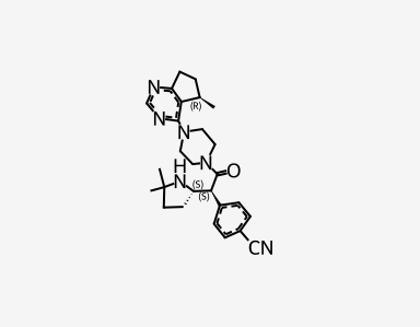 C[C@@H]1CCc2ncnc(N3CCN(C(=O)[C@@H](c4ccc(C#N)cc4)[C@@H]4CCC(C)(C)N4)CC3)c21